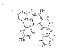 O=C(c1cc2ccccc2n1Cc1ccc(Cl)cc1)N1CCC(Cc2ccccc2)CC1